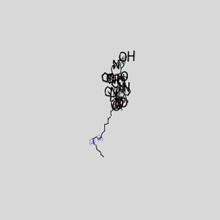 CCCCC/C=C\C/C=C\CCCCCCCCOC(=O)[C@@]1(C)[C@H](OC(C)=O)C2(CC)C=CCN3CC[C@@]4(c5cc([C@@]6(C(=O)OC)CC7C[N@](CCc8c6[nH]c6ccccc86)C[C@](O)(CC)C7)c(OC)cc5N(C=O)[C@@H]14)[C@@H]32